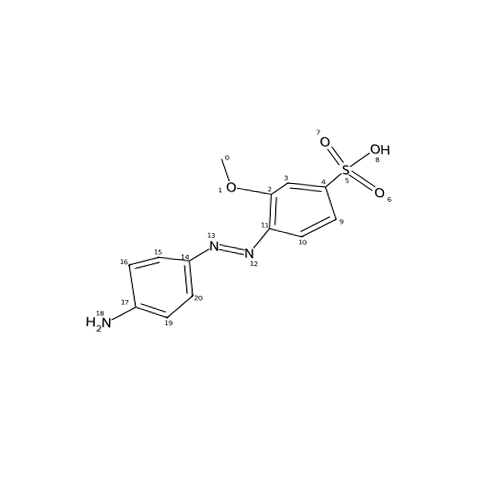 COc1cc(S(=O)(=O)O)ccc1N=Nc1ccc(N)cc1